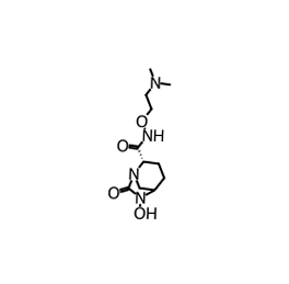 CN(C)CCONC(=O)[C@@H]1CCC2CN1C(=O)N2O